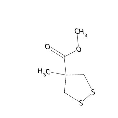 COC(=O)C1(C)CSSC1